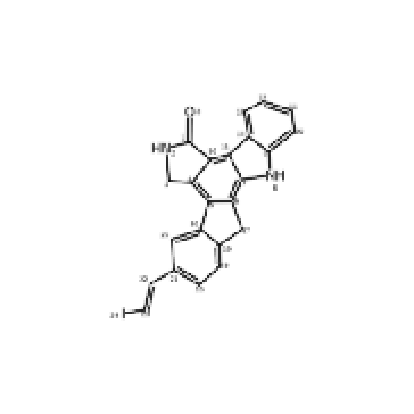 O=C1NCc2c3c(c4[nH]c5ccccc5c4c21)Cc1ccc(/C=C/I)cc1-3